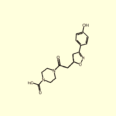 O=C(O)N1CCN(C(=O)CC2CC(c3ccc(O)cc3)=NO2)CC1